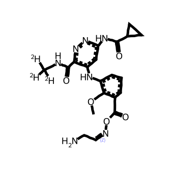 [2H]C([2H])([2H])NC(=O)c1nnc(NC(=O)C2CC2)cc1Nc1cccc(C(=O)O/N=C\CN)c1OC